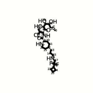 CS[C@H]1O[C@H](C(NC(=O)[C@@H]2CC[C@H](CCCNCC(F)(F)C3CCC3)CCN2)C(C)Cl)[C@H](O)[C@H](O)[C@H]1O